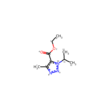 CCOC(=O)c1c(C)nnn1C(C)C